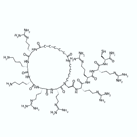 NCCCC[C@@H]1NC(=O)[C@H](CCCN=C(N)N)NC(=O)CCCCCC(=O)NCCCCN(CC(=O)N[C@@H](CCCN=C(N)N)C(=O)N[C@@H](CCCN=C(N)N)C(=O)N[C@@H](CCCN=C(N)N)C(=O)N[C@@H](CS)C(N)=O)C(=O)[C@H](CCCN=C(N)N)NC(=O)[C@H](CCCN=C(N)N)NC(=O)[C@H](CCCCN)NC1=O